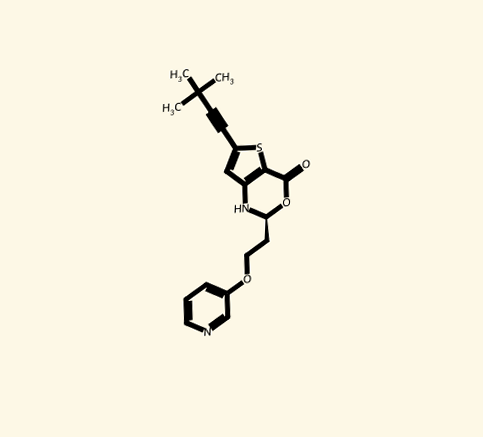 CC(C)(C)C#Cc1cc2c(s1)C(=O)O[C@@H](CCOc1cccnc1)N2